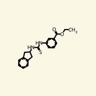 CCOC(=O)c1cccc(NC(=S)NC2Cc3ccccc3C2)c1